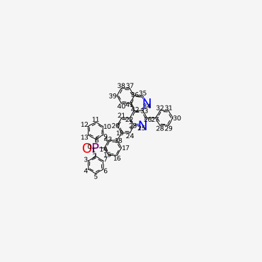 O=P(c1ccccc1)(c1ccccc1)c1cccc(-c2ccc3c(c2)nc(-c2ccccc2)c2ncc4ccccc4c23)c1